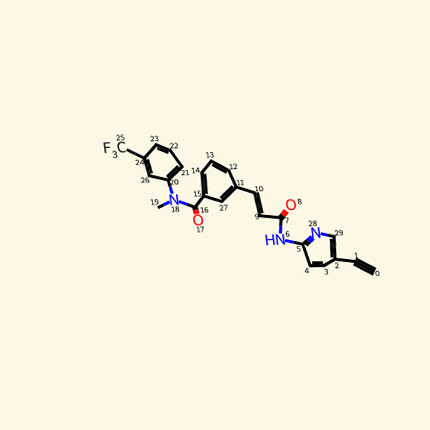 C#Cc1ccc(NC(=O)/C=C/c2cccc(C(=O)N(C)c3cccc(C(F)(F)F)c3)c2)nc1